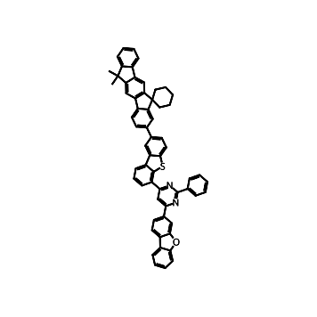 CC1(C)c2ccccc2-c2cc3c(cc21)-c1ccc(-c2ccc4sc5c(-c6cc(-c7ccc8c(c7)oc7ccccc78)nc(-c7ccccc7)n6)cccc5c4c2)cc1C31CCCCC1